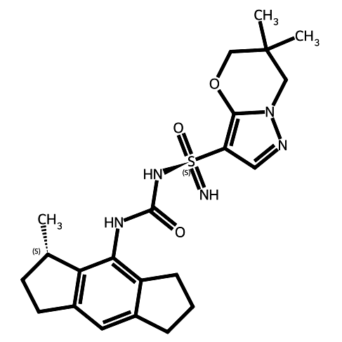 C[C@H]1CCc2cc3c(c(NC(=O)N[S@@](=N)(=O)c4cnn5c4OCC(C)(C)C5)c21)CCC3